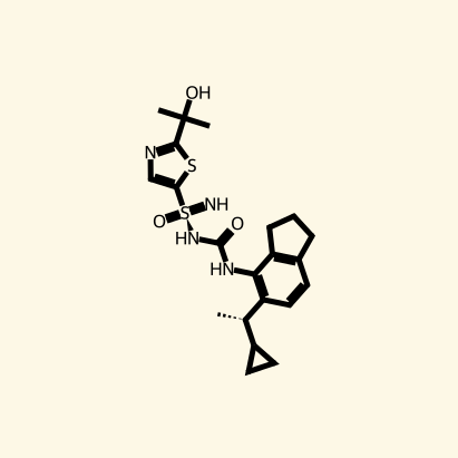 C[C@H](c1ccc2c(c1NC(=O)N[S@@](=N)(=O)c1cnc(C(C)(C)O)s1)CCC2)C1CC1